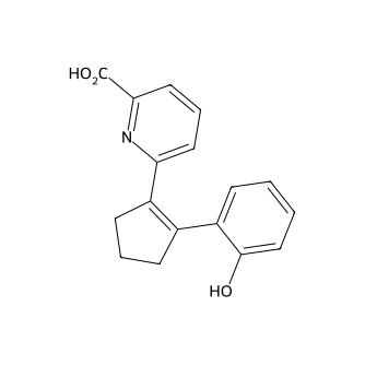 O=C(O)c1cccc(C2=C(c3ccccc3O)CCC2)n1